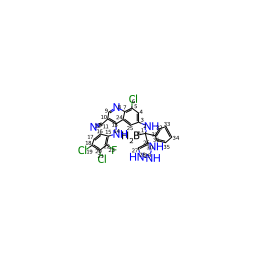 BC(Nc1cc(Cl)c2ncc(C#N)c(Nc3ccc(Cl)c(Cl)c3F)c2c1)(C1=CNNN1)c1ccccc1